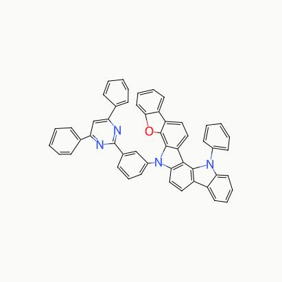 c1ccc(-c2cc(-c3ccccc3)nc(-c3cccc(-n4c5ccc6c7ccccc7n(-c7ccccc7)c6c5c5ccc6c7ccccc7oc6c54)c3)n2)cc1